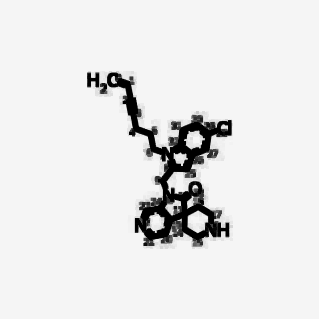 C=CC#CCCCn1c(CN2C(=O)C3(CCNCC3)c3ccncc32)cc2cc(Cl)ccc21